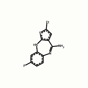 CCc1cc2c(s1)Nc1cc(F)ccc1N=C2N